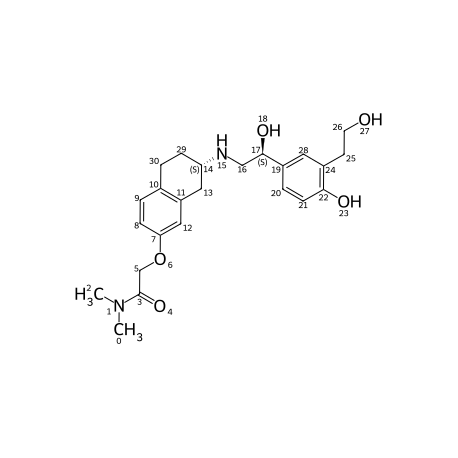 CN(C)C(=O)COc1ccc2c(c1)C[C@@H](NC[C@@H](O)c1ccc(O)c(CCO)c1)CC2